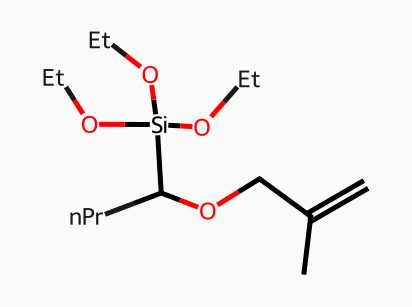 C=C(C)COC(CCC)[Si](OCC)(OCC)OCC